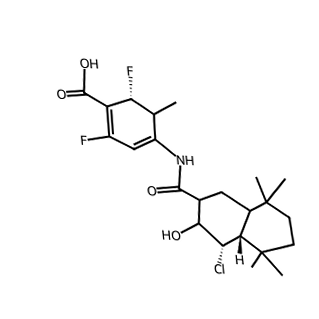 CC1C(NC(=O)C2CC3[C@@H]([C@H](Cl)C2O)C(C)(C)CCC3(C)C)=CC(F)=C(C(=O)O)[C@@H]1F